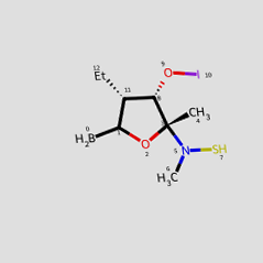 BC1O[C@@](C)(N(C)S)[C@@H](OI)[C@H]1CC